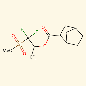 COS(=O)(=O)C(F)(F)C(OC(=O)C1CC2CCC1C2)C(F)(F)F